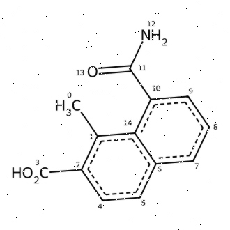 Cc1c(C(=O)O)ccc2cccc(C(N)=O)c12